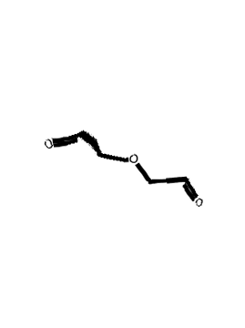 O=[C]COCC=O